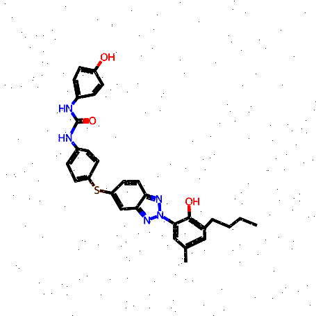 CCCCc1cc(C)cc(-n2nc3ccc(Sc4ccc(NC(=O)Nc5ccc(O)cc5)cc4)cc3n2)c1O